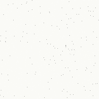 C=C(COCCCCCCCC)c1ccco1